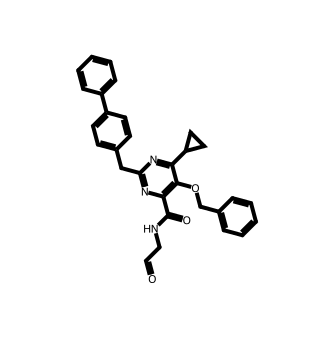 O=CCNC(=O)c1nc(Cc2ccc(-c3ccccc3)cc2)nc(C2CC2)c1OCc1ccccc1